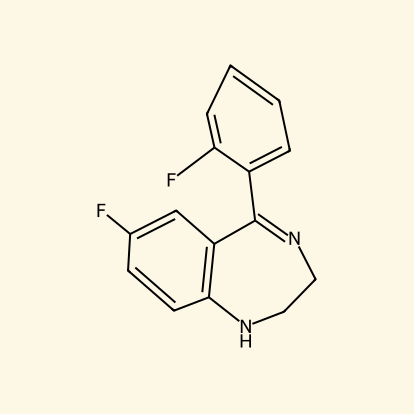 Fc1ccc2c(c1)C(c1ccccc1F)=NCCN2